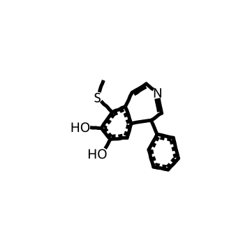 CSc1c(O)c(O)cc2c1C=CN=CC2c1ccccc1